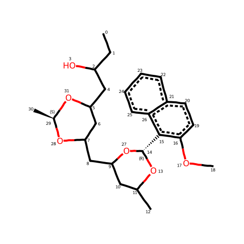 CCC(O)CC1CC(CC2CC(C)O[C@@H](c3c(OC)ccc4ccccc34)O2)O[C@@H](C)O1